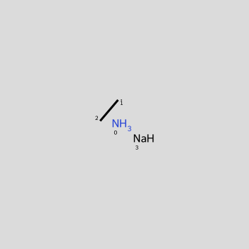 N.[CH2]C.[NaH]